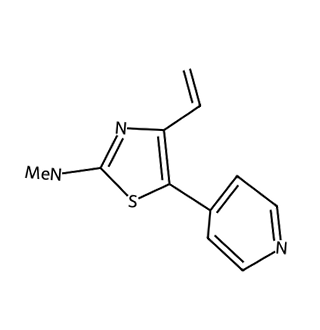 C=Cc1nc(NC)sc1-c1ccncc1